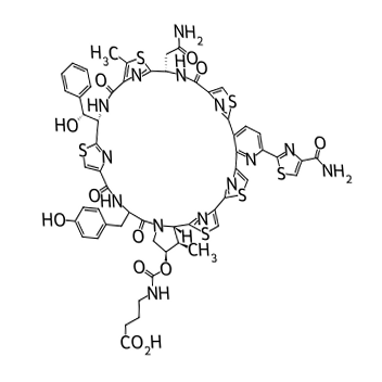 Cc1sc2nc1C(=O)N[C@@H]([C@H](O)c1ccccc1)c1nc(cs1)C(=O)NC(Cc1ccc(O)cc1)C(=O)N1C[C@H](OC(=O)NCCCC(=O)O)[C@H](C)[C@H]1c1nc(cs1)-c1nc(cs1)-c1nc(-c3nc(C(N)=O)cs3)ccc1-c1nc(cs1)C(=O)N[C@H]2CC(N)=O